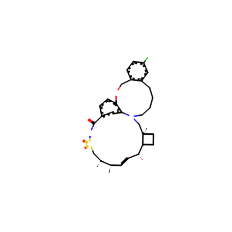 C[C@@H]1/C=C/[C@H](O)[C@@H]2CC[C@H]2CN2CCCCc3cc(Cl)ccc3COc3ccc(cc32)C(=O)NS(=O)(=O)C[C@@H]1C